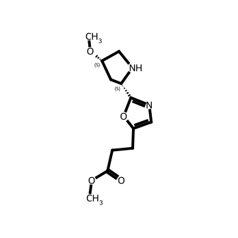 COC(=O)CCc1cnc([C@@H]2C[C@H](OC)CN2)o1